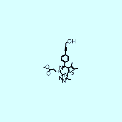 COC(=O)CC[C@@H]1N=C(c2ccc(C#CCO)cc2)c2c(sc(C)c2C)-n2c(C)nnc21